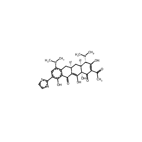 CC(=O)C1=C(O)[C@@H](N(C)C)[C@@H]2C[C@@H]3Cc4c(N(C)C)cc(-c5nccs5)c(O)c4C(=O)C3=C(O)[C@]2(O)C1=O